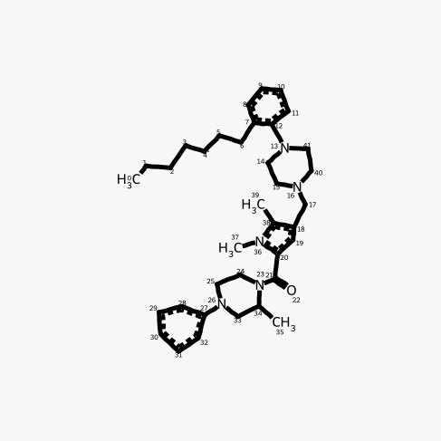 CCCC[CH]CCc1ccccc1N1CCN(Cc2cc(C(=O)N3CCN(c4ccccc4)CC3C)n(C)c2C)CC1